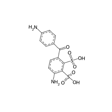 Nc1ccc(C(=O)c2ccc(N)c(S(=O)(=O)O)c2S(=O)(=O)O)cc1